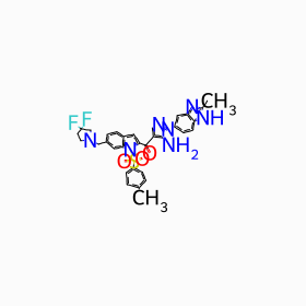 Cc1ccc(S(=O)(=O)n2c(C(=O)c3cnn(-c4ccc5[nH]c(C)nc5c4)c3N)cc3ccc(CN4CCC(F)(F)C4)cc32)cc1